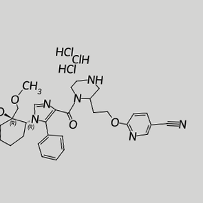 COC[C@@]1(O)CCCC[C@H]1n1cnc(C(=O)N2CCNCC2CCOc2ccc(C#N)cn2)c1-c1ccccc1.Cl.Cl.Cl